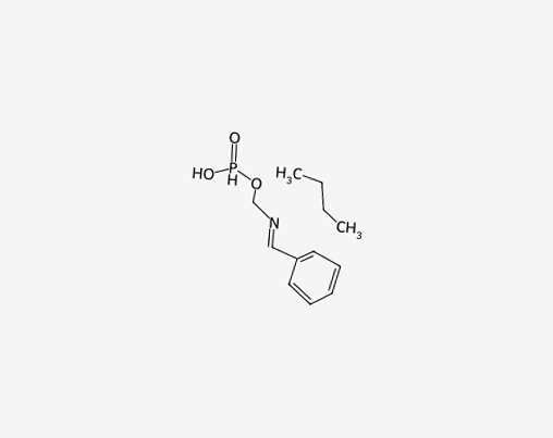 CCCC.O=[PH](O)OC/N=C/c1ccccc1